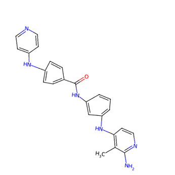 Cc1c(Nc2cccc(NC(=O)c3ccc(Nc4ccncc4)cc3)c2)ccnc1N